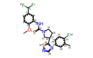 COc1ccc(C(F)F)cc1NC(=S)N1CC[C@@](c2ccc(C)c(F)c2)(c2ncns2)C1